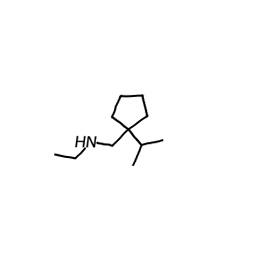 CCNCC1(C(C)C)CCCC1